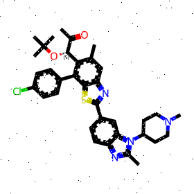 CC(=O)[C@@H](OC(C)(C)C)c1c(C)cc2nc(-c3ccc4nc(C)n(C5CCN(C)CC5)c4c3)sc2c1-c1ccc(Cl)cc1